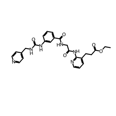 CCOC(=O)CCc1cccnc1NC(=O)CNC(=O)c1cccc(NC(=O)NCc2ccncc2)c1